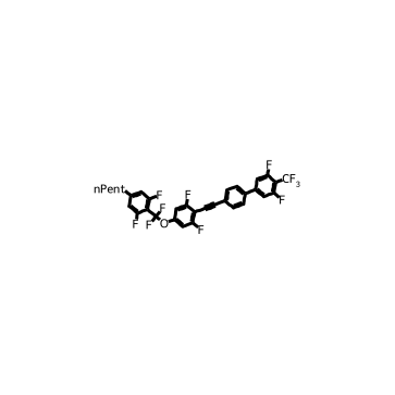 CCCCCc1cc(F)c(C(F)(F)Oc2cc(F)c(C#Cc3ccc(-c4cc(F)c(C(F)(F)F)c(F)c4)cc3)c(F)c2)c(F)c1